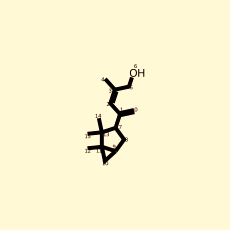 C=C(C=C(C)CO)C1CC2CC2(C)C1(C)C